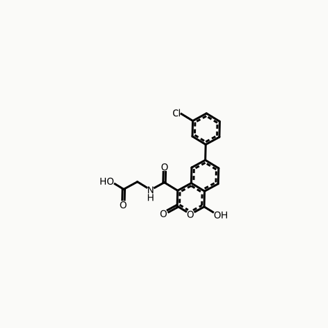 O=C(O)CNC(=O)c1c(=O)oc(O)c2ccc(-c3cccc(Cl)c3)cc12